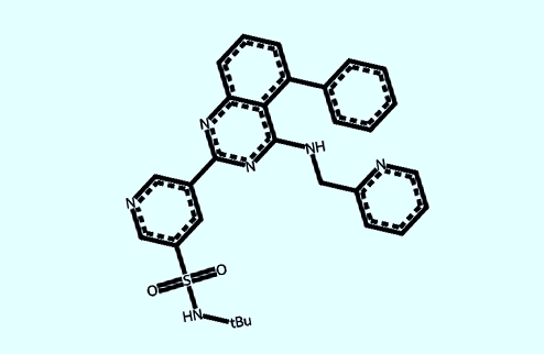 CC(C)(C)NS(=O)(=O)c1cncc(-c2nc(NCc3ccccn3)c3c(-c4ccccc4)cccc3n2)c1